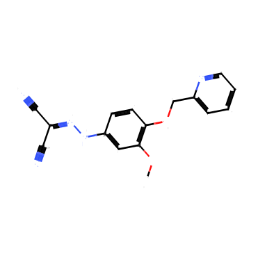 COc1cc(NN=C(C#N)C#N)ccc1OCc1ccccn1